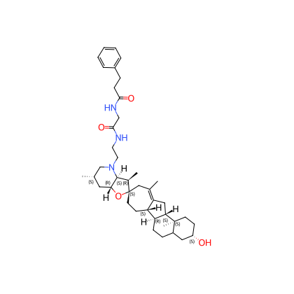 CC1=C2C[C@H]3[C@@H](CCC4C[C@@H](O)CC[C@@]43C)[C@@H]2CC[C@@]2(C1)O[C@@H]1C[C@H](C)CN(CCNC(=O)CNC(=O)CCc3ccccc3)[C@H]1[C@H]2C